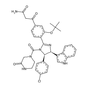 CC(C)(C)Oc1cc(C(=O)CC(N)=O)ccc1C1=N[C@@H](c2c[nH]c3ccccc23)[C@@H](c2ccc(Cl)cc2)N1C(=O)N1CCNC(=O)C1